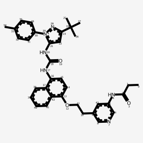 CCC(=O)Nc1cncc(CCOc2ccc(NC(=O)Nc3cc(C(C)(C)C)nn3-c3ccc(C)cc3)c3ccccc23)c1